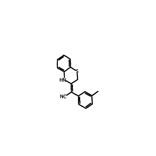 Cc1cccc(C(C#N)=C2CSc3ccccc3N2)c1